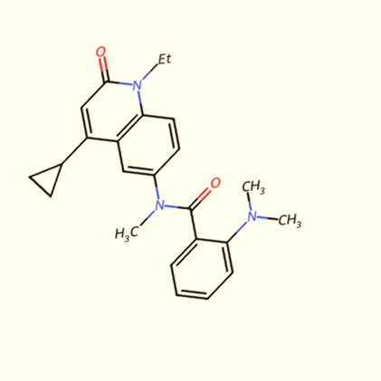 CCn1c(=O)cc(C2CC2)c2cc(N(C)C(=O)c3ccccc3N(C)C)ccc21